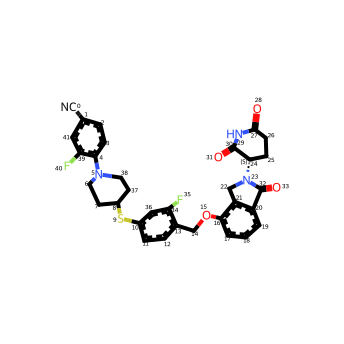 N#Cc1ccc(N2CCC(Sc3ccc(COc4cccc5c4CN([C@H]4CCC(=O)NC4=O)C5=O)c(F)c3)CC2)c(F)c1